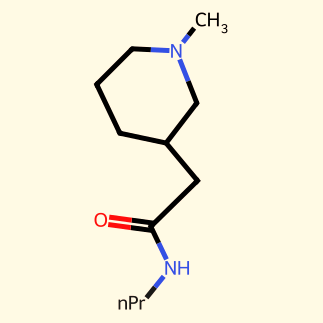 CCCNC(=O)CC1CCCN(C)C1